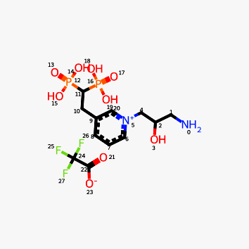 NCC(O)C[n+]1cccc(CC(P(=O)(O)O)P(=O)(O)O)c1.O=C([O-])C(F)(F)F